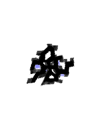 C=C/C=C1\C(=C/C)C2(C3=CCCC=C3C(=C/C)/C2=C\C=C)c2ccccc21